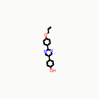 C=CCOc1ccc(-c2ncc(-c3ccc(O)cc3)cn2)cc1